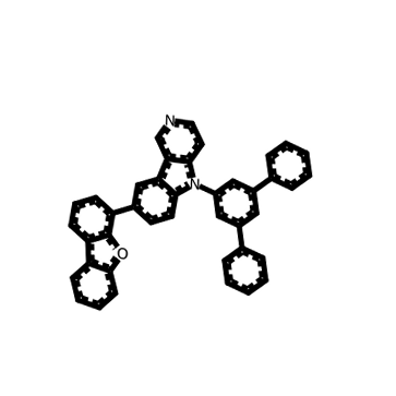 c1ccc(-c2cc(-c3ccccc3)cc(-n3c4ccncc4c4cc(-c5cccc6c5oc5ccccc56)ccc43)c2)cc1